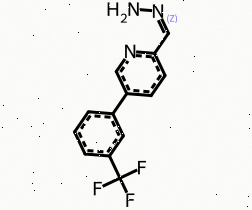 N/N=C\c1ccc(-c2cccc(C(F)(F)F)c2)cn1